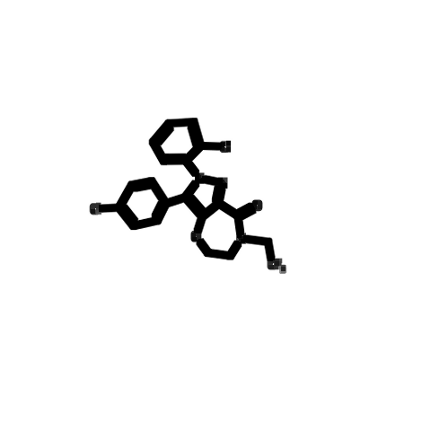 O=C1c2nn(-c3ccccc3Cl)c(-c3ccc(Cl)cc3)c2OCCN1CC(F)(F)F